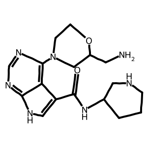 NCC1CN(c2ncnc3[nH]cc(C(=O)NC4CCCNC4)c23)CCO1